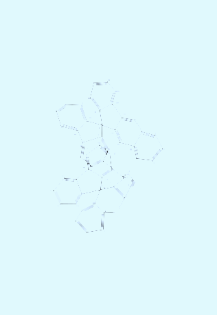 c1ccc2c(c1)Oc1cccc(-c3ccc4c(c3)C3(c5ccccc5-4)c4ccccc4-c4cc5ccccc5cc43)c1C21c2ccccc2-c2ccccc21